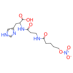 O=C(CCCCO[N+](=O)[O-])NCCC(=O)NC(Cc1c[nH]cn1)C(=O)O